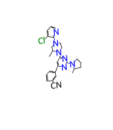 CC1CN(c2ncccc2Cl)CCN1c1cc(-c2cccc(C#N)c2)nc(N2CCCC2C)n1